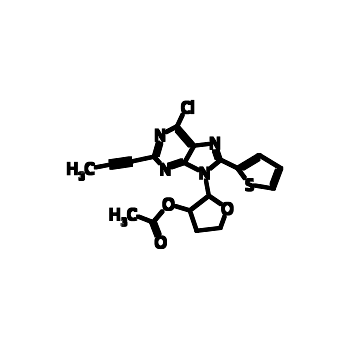 CC#Cc1nc(Cl)c2nc(-c3cccs3)n(C3OCCC3OC(C)=O)c2n1